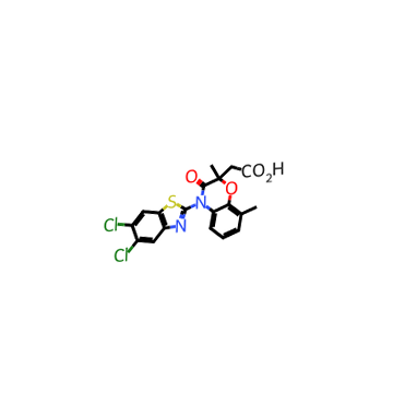 Cc1cccc2c1OC(C)(CC(=O)O)C(=O)N2c1nc2cc(Cl)c(Cl)cc2s1